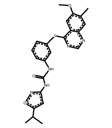 COc1cc2c(Sc3cccc(NC(=O)Nc4cc(C(C)C)on4)c3)ncnc2cc1C